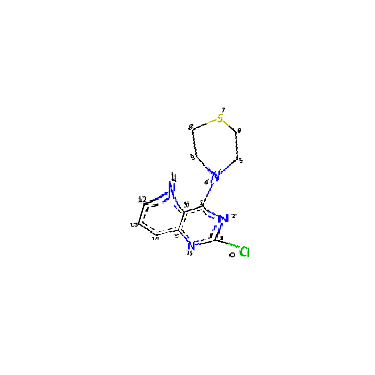 Clc1nc(N2CCSCC2)c2ncccc2n1